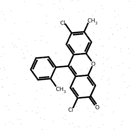 Cc1cc2oc3cc(=O)c(Cl)cc-3c(-c3ccccc3C)c2cc1Cl